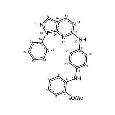 COc1ccccc1Nc1ccc(Nc2ncc3cnn(-c4ccccn4)c3n2)cc1